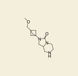 COCC12CC(N3CC4CNCCN4C3=O)(C1)C2